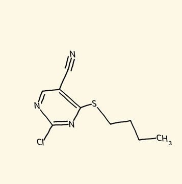 CCCCSc1nc(Cl)ncc1C#N